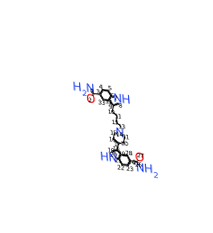 NC(=O)c1ccc2[nH]cc(CCCCN3CC=C(c4c[nH]c5ccc(C(N)=O)cc45)CC3)c2c1